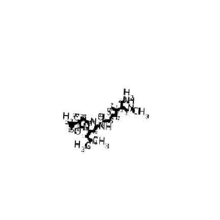 CN/C=C(\CN)c1csc(CC(=O)N/C(N)=C/C(=C\C(C)C)N2CC[C@@](C)(C3CC3)C2=O)c1